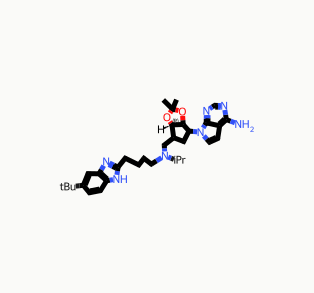 CC(C)N(CCCCc1nc2cc(C(C)(C)C)ccc2[nH]1)CC1CC(n2ccc3c(N)ncnc32)C2OC(C)(C)O[C@H]12